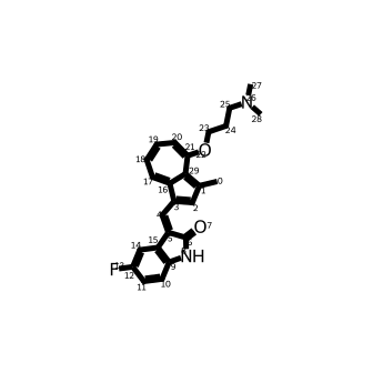 Cc1cc(C=C2C(=O)Nc3ccc(F)cc32)c2ccccc(OCCCN(C)C)c1-2